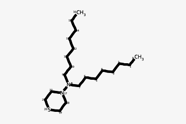 CCCCCCCCN(CCCCCCCC)N1CCSCC1